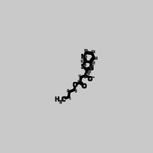 CCCCOC(=O)C[S+]([O-])c1nc2cccnc2s1